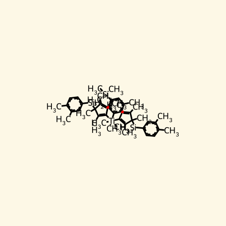 CC1=C(C)C(C)([SiH2]c2ccc(C)c(C)c2)C(C)=[C]1[Ti]([CH3])([CH3])([CH3])([C]1=C(C)C(C)([SiH2]c2ccc(C)c(C)c2)C(C)=C1C)[c]1cc(C)cc([Si](C)(C)C)c1